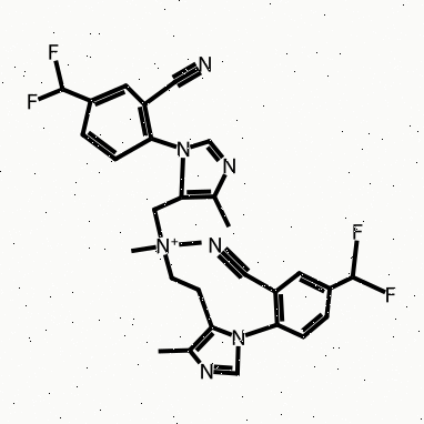 Cc1ncn(-c2ccc(C(F)F)cc2C#N)c1CC[N+](C)(C)Cc1c(C)ncn1-c1ccc(C(F)F)cc1C#N